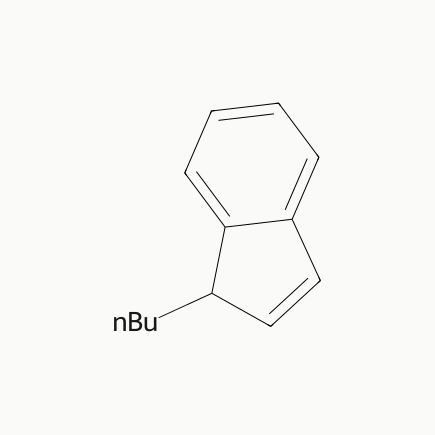 CCCCC1C=Cc2ccccc21